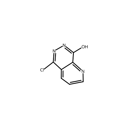 Oc1nnc(Cl)c2cccnc12